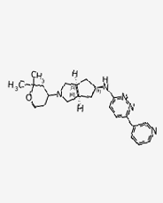 CC1(C)CC(N2C[C@H]3C[C@@H](Nc4ccc(-c5cccnc5)nn4)C[C@H]3C2)CCO1